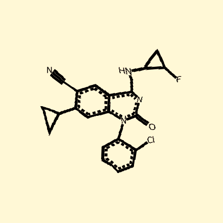 N#Cc1cc2c(NC3CC3F)nc(=O)n(-c3ccccc3Cl)c2cc1C1CC1